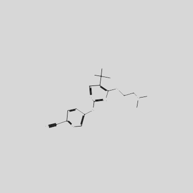 CN(C)CCNc1nc(Nc2ccc(C#N)nc2)ncc1C(F)(F)F